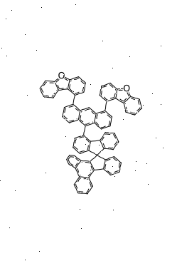 c1ccc2c(c1)-c1c(-c3c4cccc(-c5cccc6oc7ccccc7c56)c4cc4c(-c5cccc6oc7ccccc7c56)cccc34)cccc1C21c2ccccc2-c2c1c1ccccc1c1ccccc21